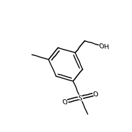 Cc1cc(CO)cc(S(C)(=O)=O)c1